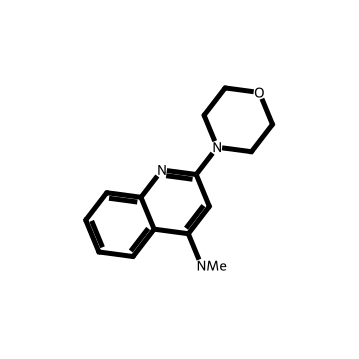 CNc1cc(N2CCOCC2)nc2ccccc12